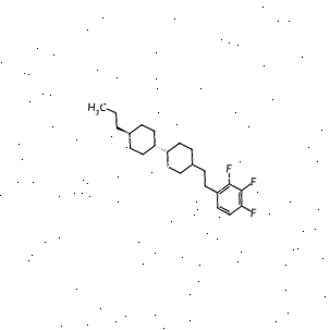 CCC[C@H]1CC[C@H](C2CCC(CCc3ccc(F)c(F)c3F)CC2)CC1